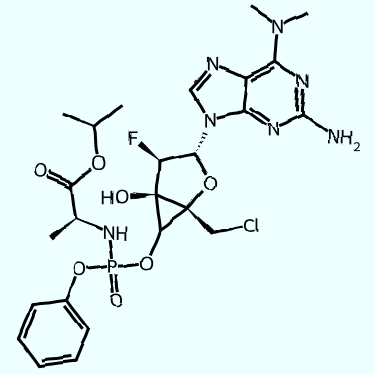 CC(C)OC(=O)[C@H](C)NP(=O)(Oc1ccccc1)OC1[C@@]2(CCl)O[C@@H](n3cnc4c(N(C)C)nc(N)nc43)[C@H](F)[C@@]12O